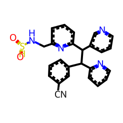 N#Cc1cccc(C(c2ccccn2)C(c2cccnc2)c2cccc(CN[SH](=O)=O)n2)c1